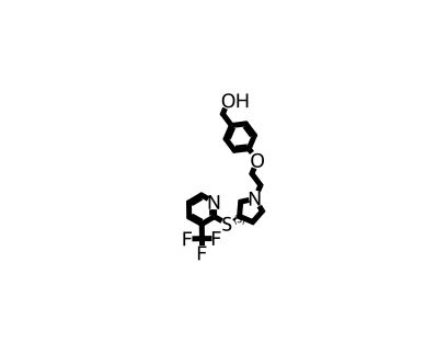 OCc1ccc(OCCN2CC[C@H](Sc3ncccc3C(F)(F)F)C2)cc1